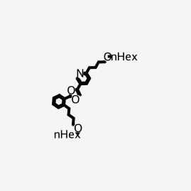 CCCCCCOCCCCc1ccc(C2=COC(c3ccccc3CCCCOCCCCCC)O2)cn1